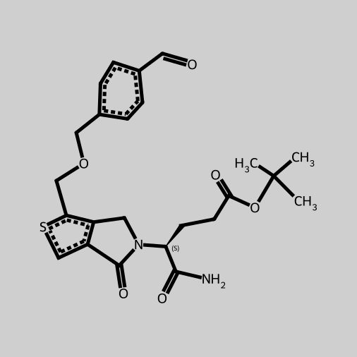 CC(C)(C)OC(=O)CC[C@@H](C(N)=O)N1Cc2c(csc2COCc2ccc(C=O)cc2)C1=O